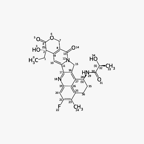 CC[C@@]1(O)C(=O)OCc2c1cc1n(c2=O)Cc2c-1nc1cc(F)c(C)c3c1c2[C@@H](NC(=O)[C@H](C)O)CC3